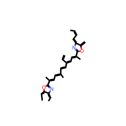 C=CC(/C=C/C(C)=C/C=C(\C)c1nc(=C/C)/c(=C\C)o1)=C\C=C(/C)c1n/c(=C/C=C\C)c(=C)o1